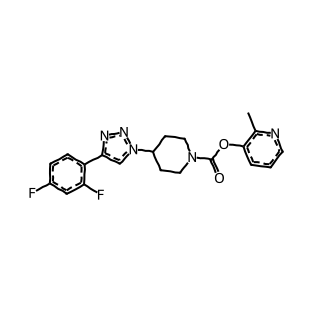 Cc1ncccc1OC(=O)N1CCC(n2cc(-c3ccc(F)cc3F)nn2)CC1